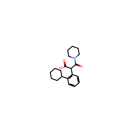 O=C(O)C(C(=O)N1CCCCC1)c1ccc[c]c1C1CCCCC1